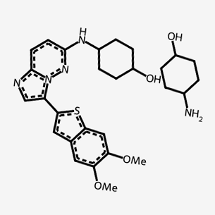 COc1cc2cc(-c3cnc4ccc(NC5CCC(O)CC5)nn34)sc2cc1OC.NC1CCC(O)CC1